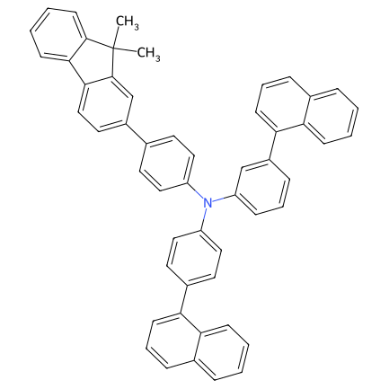 CC1(C)c2ccccc2-c2ccc(-c3ccc(N(c4ccc(-c5cccc6ccccc56)cc4)c4cccc(-c5cccc6ccccc56)c4)cc3)cc21